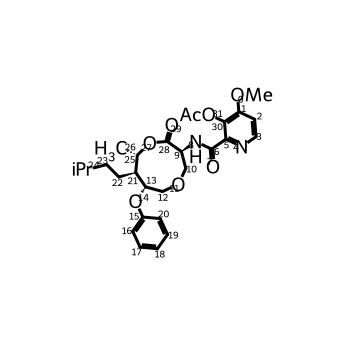 COc1ccnc(C(=O)N[C@H]2COC[C@H](Oc3ccccc3)[C@@H](CCC(C)C)[C@H](C)OC2=O)c1OC(C)=O